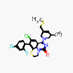 CSCC1CC(C)CN(c2nc(=O)n3c4c(c(-c5ccc(F)cc5F)c(Cl)cc24)SCC3)C1